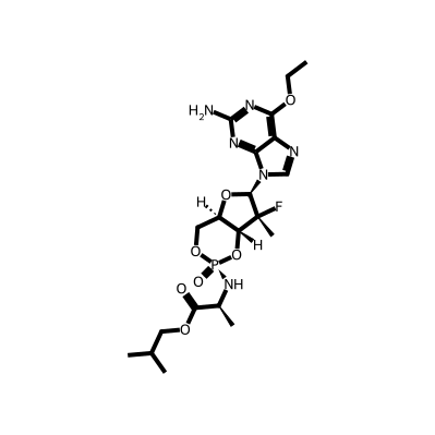 CCOc1nc(N)nc2c1ncn2[C@@H]1O[C@@H]2CO[P@](=O)(N[C@@H](C)C(=O)OCC(C)C)O[C@H]2[C@@]1(C)F